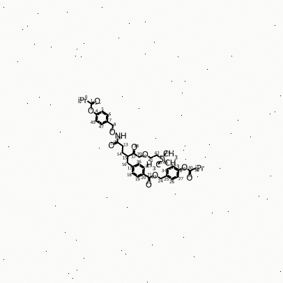 CC(C)C(=O)Oc1ccc(CONC(=O)CCC(Cc2ccc(C(=O)OCc3ccc(OC(=O)C(C)C)cc3)cc2)C(=O)COCC[Si](C)(C)C)cc1